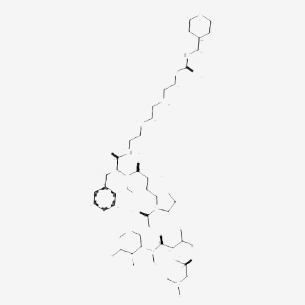 CC[C@H](C)[C@@H]([C@@H](CC(=O)N1CCC[C@H]1[C@H](OC)[C@@H](C)C(=O)N[C@@H](Cc1ccccc1)C(=O)NCCOCCOCCNC(=O)NCC1CCNCC1)OC)N(C)C(=O)[C@@H](NC(=O)[C@H](C)N(C)C)C(C)C